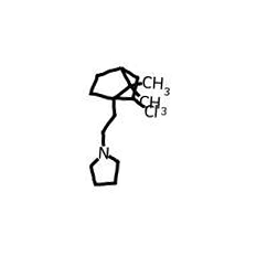 CC1(C)C2CCC1(CCN1CCCC1)C(Cl)C2